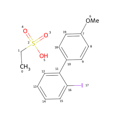 CCS(=O)(=O)O.COc1ccc(-c2ccccc2I)cc1